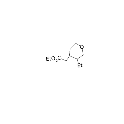 CCOC(=O)CC1CCOCC1CC